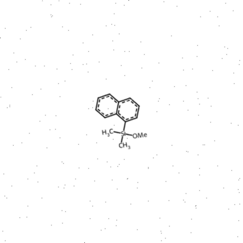 CO[Si](C)(C)c1cccc2ccccc12